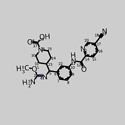 CO/C(N)=N\C(c1cccc(NC(=O)c2ccc(C#N)cn2)c1)C1CCN(C(=O)O)CC1